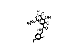 C=NOC[C@H]1CNC(=O)c2c(O)c(=O)c(C(=O)NCc3ccc(F)cc3F)cn21